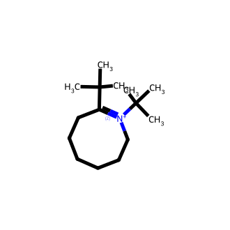 CC(C)(C)/C1=[N+](\C(C)(C)C)CCCCCC1